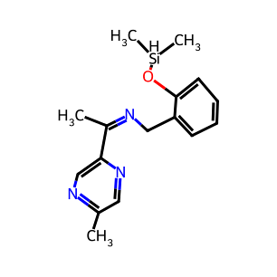 CC(=NCc1ccccc1O[SiH](C)C)c1cnc(C)cn1